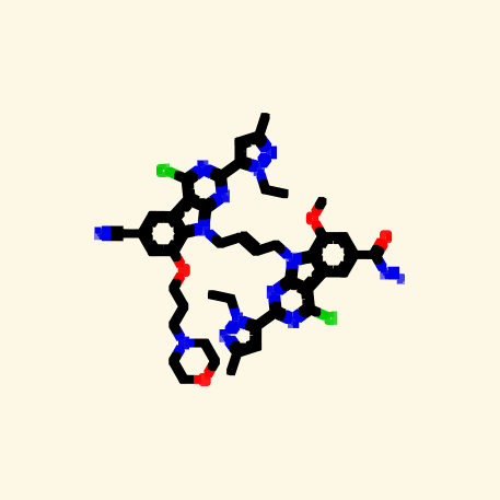 CCn1nc(C)cc1-c1nc(Cl)c2c3cc(C(N)=O)cc(OC)c3n(CC=CCn3c4nc(-c5cc(C)nn5CC)nc(Cl)c4c4cc(C#N)cc(OCCCN5CCOCC5)c43)c2n1